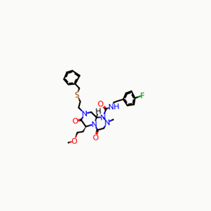 COCC[C@H]1C(=O)N(CCSCc2ccccc2)C[C@H]2N1C(=O)CN(C)N2C(=O)NCc1ccc(F)cc1